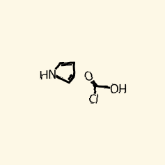 O=C(O)Cl.c1cc[nH]c1